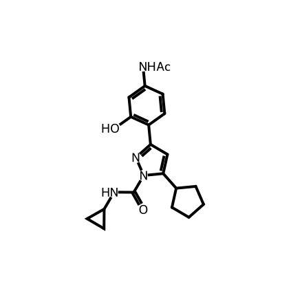 CC(=O)Nc1ccc(-c2cc(C3CCCC3)n(C(=O)NC3CC3)n2)c(O)c1